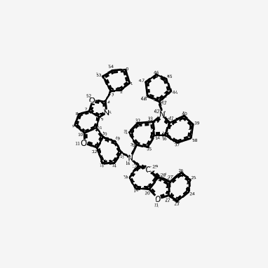 c1ccc(-c2nc3c(ccc4oc5ccc(N(c6ccc7oc8ccccc8c7c6)c6ccc7c(c6)c6ccccc6n7-c6ccccc6)cc5c43)o2)cc1